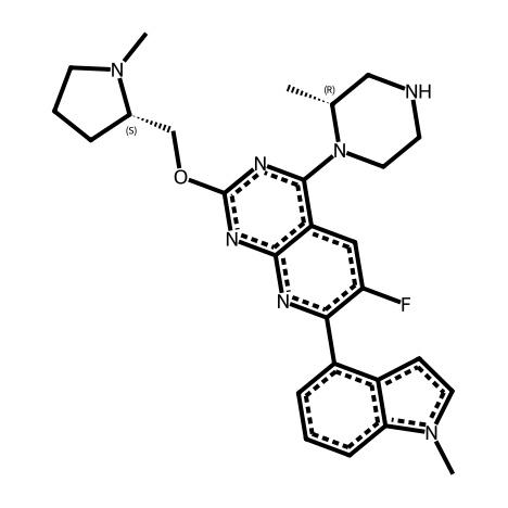 C[C@@H]1CNCCN1c1nc(OC[C@@H]2CCCN2C)nc2nc(-c3cccc4c3ccn4C)c(F)cc12